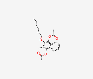 CCCCCCOc1c(C)c(OC(C)=O)c2ccccc2c1OC(C)=O